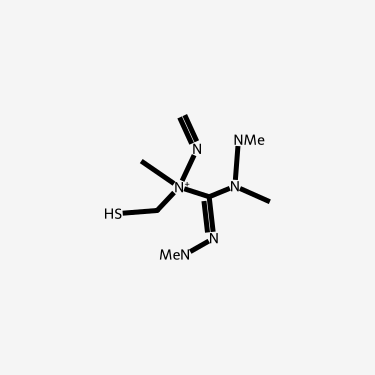 C=N[N+](C)(CS)/C(=N\NC)N(C)NC